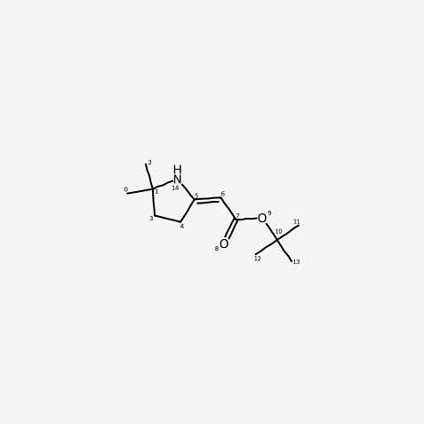 CC1(C)CC/C(=C\C(=O)OC(C)(C)C)N1